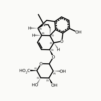 CN1CC[C@]23c4c5ccc(O)c4O[C@H]2[C@@H](OC2O[C@H](C(=O)O)[C@@H](O)[C@H](O)[C@H]2O)C=C[C@H]3[C@H]1C5